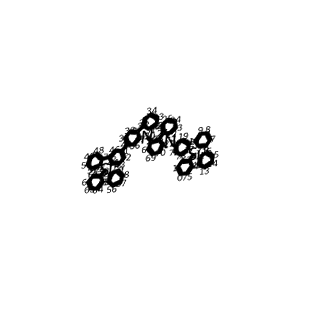 c1ccc([Si](c2ccccc2)(c2ccccc2)c2ccc(-n3c4ccccc4c4c(-n5c6ccccc6c6ccc(-c7ccc8c(c7)-c7ccccc7[Si]8(c7ccccc7)c7ccccc7)cc65)cccc43)cc2)cc1